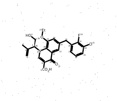 C=C(C)[C@@H](CO)n1cc(C(=O)O)c(=O)c2cc(Cc3cccc(Cl)c3F)cc(OCC)c21